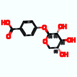 O=C(O)c1ccc(O[C@@H]2OC[C@@H](O)[C@H](O)[C@H]2O)cc1